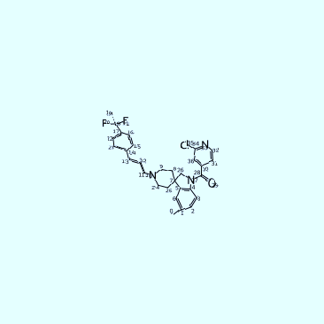 Cc1ccc2c(c1)C1(CCN(C/C=C/c3ccc(C(C)(F)F)cc3)CC1)CN2C(=O)c1ccnc(Cl)c1